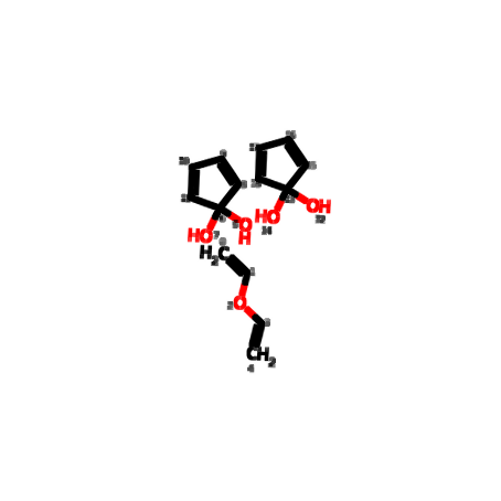 C=COC=C.OC1(O)C=CC=C1.OC1(O)C=CC=C1